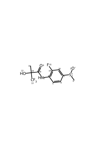 C[S+]([O-])c1ccc(NC(=O)C(C)(O)C(F)(F)F)c(F)c1